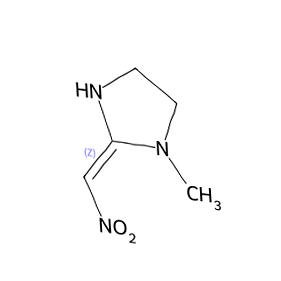 CN1CCN/C1=C/[N+](=O)[O-]